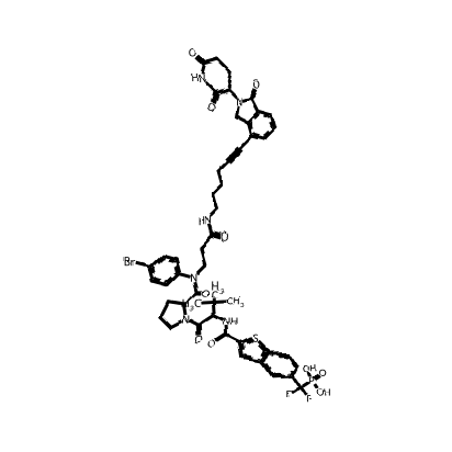 CC(C)(C)C(NC(=O)c1cc2cc(C(F)(F)P(=O)(O)O)ccc2s1)C(=O)N1CCC[C@H]1C(=O)N(CCC(=O)NCCCCC#Cc1cccc2c1CN(C1CCC(=O)NC1=O)C2=O)c1ccc(Br)cc1